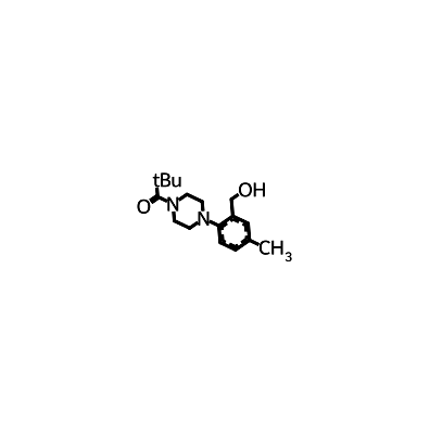 Cc1ccc(N2CCN(C(=O)C(C)(C)C)CC2)c(CO)c1